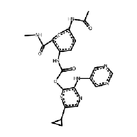 CNC(=O)c1cc(NC(C)=O)ccc1NC(=O)Oc1nc(C2CC2)cnc1Nc1cncnc1